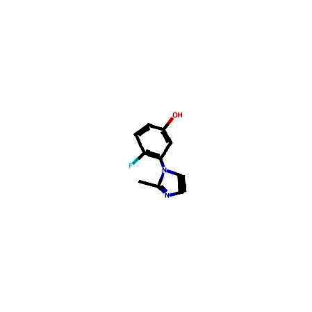 Cc1nc#cn1-c1cc(O)ccc1F